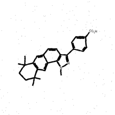 Cn1nc(-c2ccc(C(=O)O)cc2)c2ccc3cc4c(cc3c21)C(C)(C)CCC4(C)C